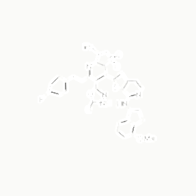 COc1cccc2c1CC[C@H]2Nc1nccc2cc(-c3c(-c4n[nH]c(=O)o4)c(CCc4ccc(F)cc4)nc4c3S(=O)(=O)C[C@@H]4C(C)C)sc12